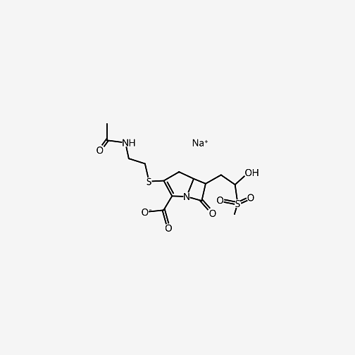 CC(=O)NCCSC1=C(C(=O)[O-])N2C(=O)C(CC(O)S(C)(=O)=O)C2C1.[Na+]